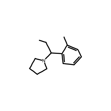 CC[C](c1ccccc1C)N1CCCC1